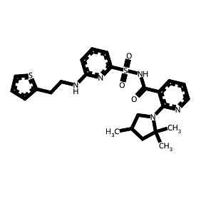 CC1CN(c2ncccc2C(=O)NS(=O)(=O)c2cccc(NCCc3cccs3)n2)C(C)(C)C1